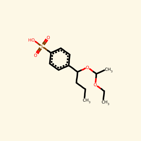 CCCC(OC(C)OCC)c1ccc(S(=O)(=O)O)cc1